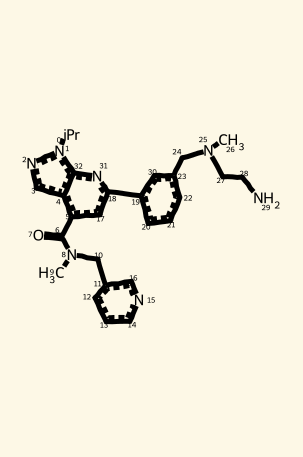 CC(C)n1ncc2c(C(=O)N(C)Cc3cccnc3)cc(-c3cccc(CN(C)CCN)c3)nc21